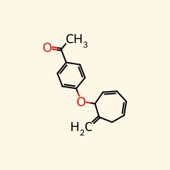 C=C1CC=CC=CC1Oc1ccc(C(C)=O)cc1